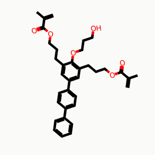 C=C(C)C(=O)OCCCc1cc(-c2ccc(-c3ccccc3)cc2)cc(CCCOC(=O)C(=C)C)c1OCCCO